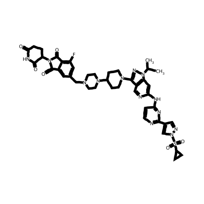 CC(C)n1nc(N2CCC(N3CCN(Cc4cc(F)c5c(c4)C(=O)N(C4CCC(=O)NC4=O)C5=O)CC3)CC2)c2cnc(Nc3ccnc(-c4cnn(S(=O)(=O)C5CC5)c4)n3)cc21